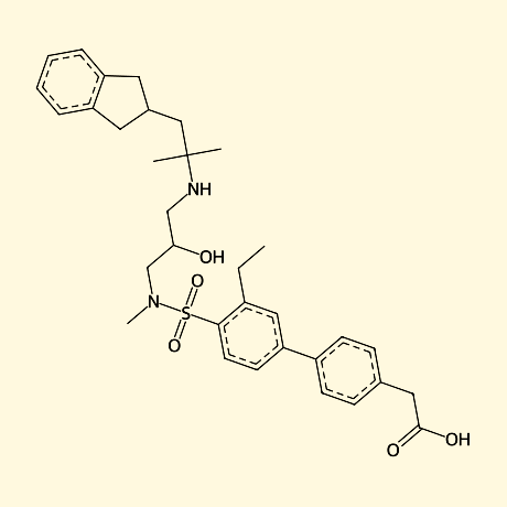 CCc1cc(-c2ccc(CC(=O)O)cc2)ccc1S(=O)(=O)N(C)CC(O)CNC(C)(C)CC1Cc2ccccc2C1